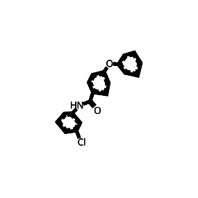 O=C(Nc1cccc(Cl)c1)c1ccc(Oc2ccccc2)cc1